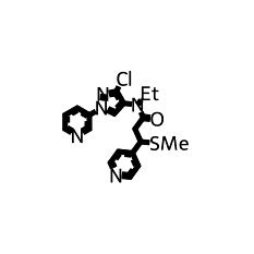 CCN(C(=O)CC(SC)c1ccncc1)c1cn(-c2cccnc2)nc1Cl